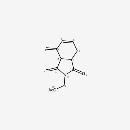 C=C1C=CCC2C(=O)N(COC(C)=O)C(=O)C12